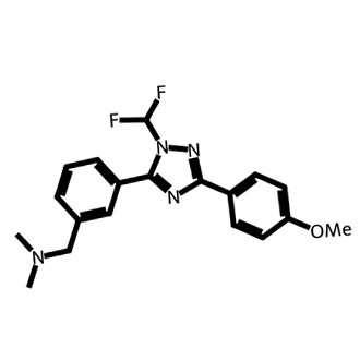 COc1ccc(-c2nc(-c3cccc(CN(C)C)c3)n(C(F)F)n2)cc1